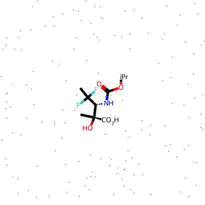 CC(C)OC(=O)N[C@@H](C(C)(F)F)[C@@](C)(O)C(=O)O